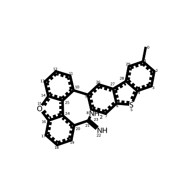 Cc1ccc2sc3ccc(-c4cccc5oc6cccc(C(=N)N)c6c45)cc3c2c1